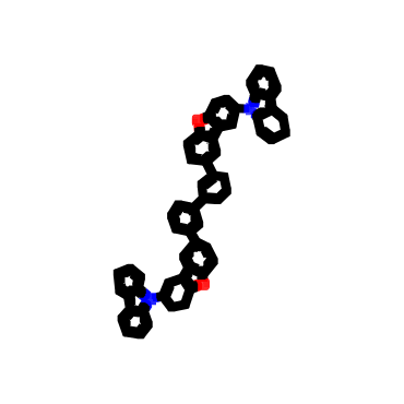 C1=Cc2c(c3ccccc3n2-c2ccc3oc4ccc(C5=CC(c6cccc(-c7ccc8oc9c(c8c7)C=C(n7c8ccccc8c8ccccc87)CC9)c6)=CCC5)cc4c3c2)CC1